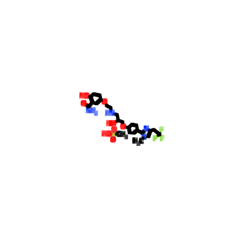 CS(=O)(=O)O.Cn1cc(CC(F)(F)F)nc1-c1ccc(OCC(O)CNCCOc2ccc(O)c(C(N)=O)c2)cc1